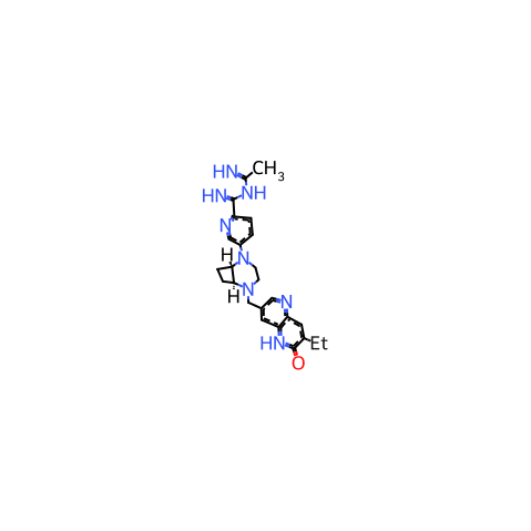 CCc1cc2ncc(CN3CCN(c4ccc(C(=N)NC(C)=N)nc4)[C@H]4CC[C@@H]43)cc2[nH]c1=O